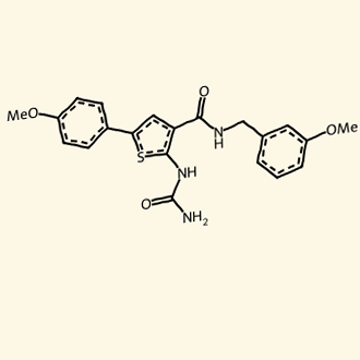 COc1ccc(-c2cc(C(=O)NCc3cccc(OC)c3)c(NC(N)=O)s2)cc1